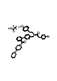 O=C(Cc1ccc(Br)cc1)N(CCc1ccc(O)cc1)Cc1ccc(-c2ccccc2C(=O)N2CCC(N3CCCCC3)CC2)cc1.O=C(O)C(F)(F)F